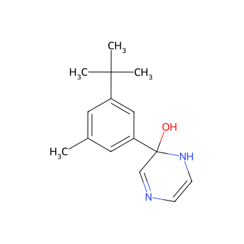 Cc1cc(C(C)(C)C)cc(C2(O)C=NC=CN2)c1